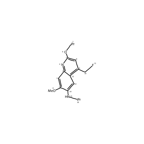 COc1cc2nc(OC(C)C)cc(CF)c2cc1NC(C)C